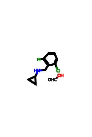 Fc1cccc(Cl)c1CNC1CC1.O=CO